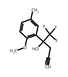 C#CCC(O)(c1cc(C)ccc1OC)C(F)(F)F